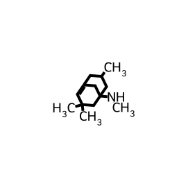 CNC12CC(=CC(C)(C)C1)CC(C)C2